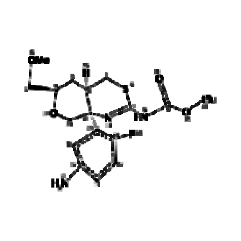 COC[C@H]1C[C@H]2CSC(NC(=O)OC(C)(C)C)=N[C@@]2(c2cc(N)ccc2F)CO1